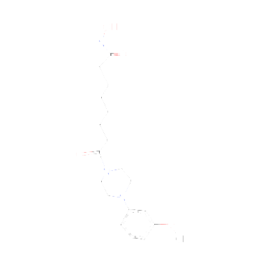 COc1cccc(N2CCN(C(=O)CCCCCCC(=O)NO)CC2)c1